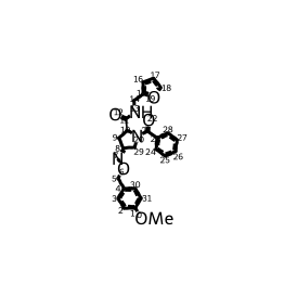 COc1ccc(CON=C2C[C@@H](C(=O)NCc3ccco3)N(C(=O)c3ccccc3)C2)cc1